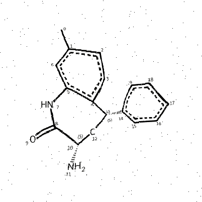 Cc1ccc2c(c1)NC(=O)[C@@H](N)C[C@H]2c1ccccc1